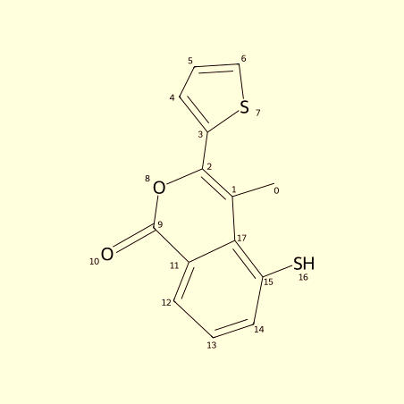 Cc1c(-c2cccs2)oc(=O)c2cccc(S)c12